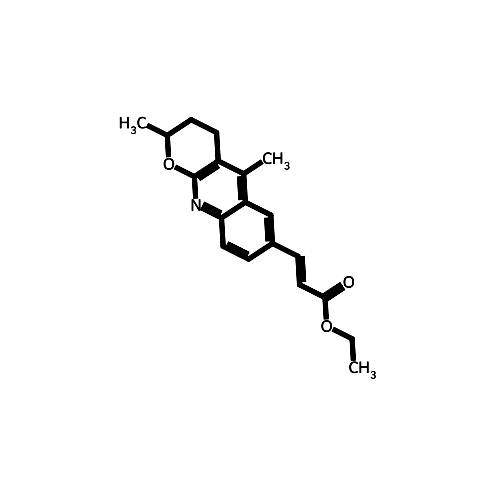 CCOC(=O)/C=C/c1ccc2nc3c(c(C)c2c1)CCC(C)O3